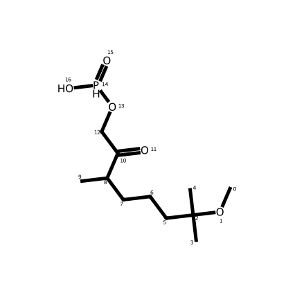 COC(C)(C)CCCC(C)C(=O)CO[PH](=O)O